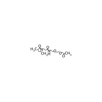 CC(=O)COCCOCCNC(=O)CCN1C(=O)C(C)CC1C